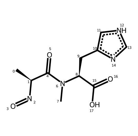 C[C@H](N=O)C(=O)N(C)[C@@H](Cc1c[nH]cn1)C(=O)O